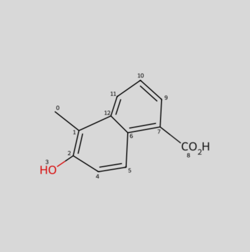 Cc1c(O)ccc2c(C(=O)O)cccc12